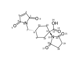 O=C1C=CC(=O)N1C[C@H]1CC[C@](C(=O)O)(N2C(=O)CCC2=O)CC1